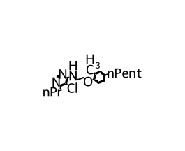 CCCCCc1ccc(OCCNc2ncnc(CCC)c2Cl)c(C)c1